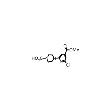 COC(=O)c1cc(Cl)nc(N2CCN(C(=O)O)CC2)c1